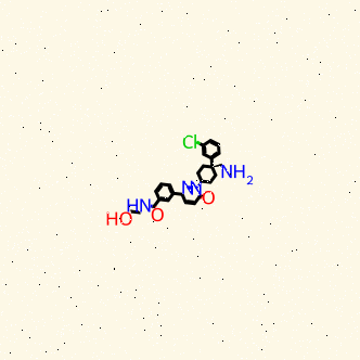 NC[C@]1(c2cccc(Cl)c2)CC[C@H](n2nc(-c3cccc(C(=O)NCCO)c3)ccc2=O)CC1